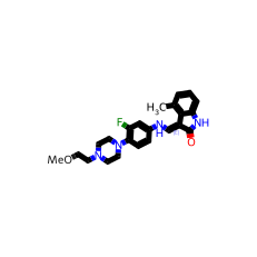 COCCN1CCN(c2ccc(N/C=C3/C(=O)Nc4cccc(C)c43)cc2F)CC1